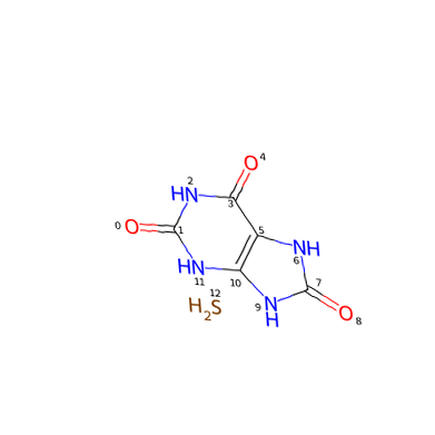 O=c1[nH]c(=O)c2[nH]c(=O)[nH]c2[nH]1.S